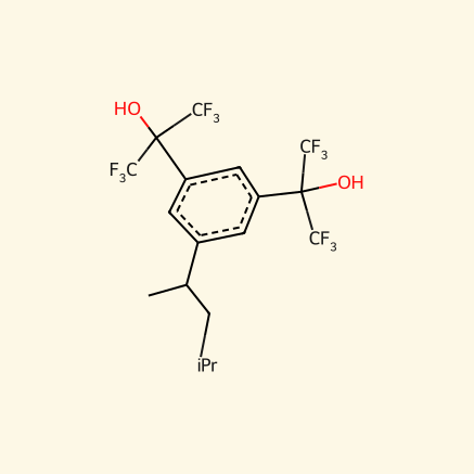 CC(C)CC(C)c1cc(C(O)(C(F)(F)F)C(F)(F)F)cc(C(O)(C(F)(F)F)C(F)(F)F)c1